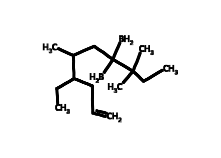 BC(B)(CC(C)C(CC)CC=C)C(C)(C)CC